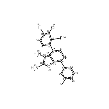 Cc1cc(-c2ncc(-c3ccc(F)c(Cl)c3F)c3c(N)c(N)oc23)ccn1